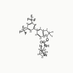 CC1(C)Cc2cc(-c3cc(C(F)(F)F)cc(C(F)(F)F)c3)ccc2C1OC(=O)N[C@@H]1CN2CCC1CC2